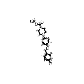 CC(C)(C)OC(=O)N1CCN(c2ncc(OCc3cnc(Cl)nc3)cn2)CC1